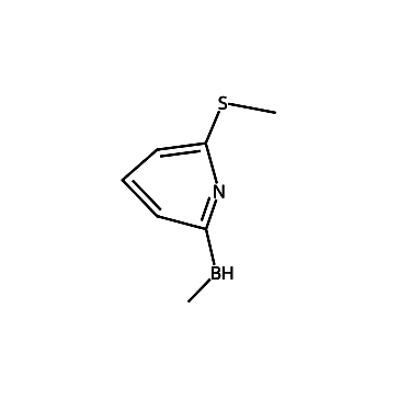 CBc1cccc(SC)n1